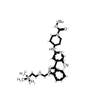 CC(C)(C)OC(=O)N1CCC(Nc2cc(-c3nn(COCC[Si](C)(C)C)c4ccccc34)c(C#N)cn2)CC1